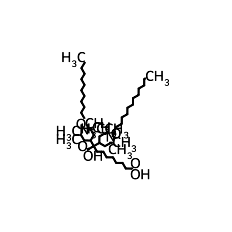 CCCCCCCCCCCCON1C(C)(C)CC(C(CCCCCCCC(=O)O)(C(=O)O)C2CC(C)(C)N(OCCCCCCCCCCCC)C(C)(C)C2)CC1(C)C